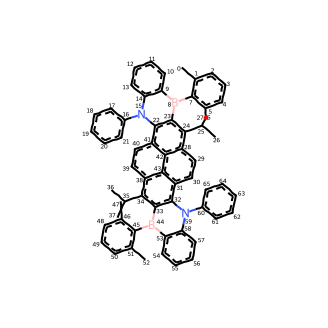 Cc1cccc(C)c1B1c2ccccc2N(c2ccccc2)c2c1c(C(C)C)c1ccc3c4c(c(C(C)C)c5ccc2c1c53)B(c1c(C)cccc1C)c1ccccc1N4c1ccccc1